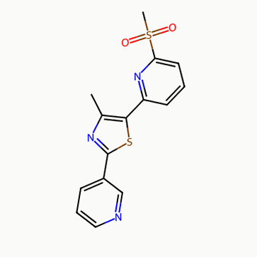 Cc1nc(-c2cccnc2)sc1-c1cccc(S(C)(=O)=O)n1